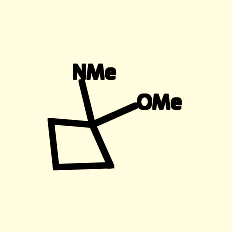 CNC1(OC)CCC1